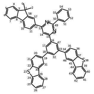 CC1(C)c2ccccc2-c2ccc(-c3cc(-c4cc(-c5ccc6sc7ccccc7c6c5)cc(-c5ccc6sc7ccccc7c6c5)c4)nc(-c4ccccc4)n3)cc21